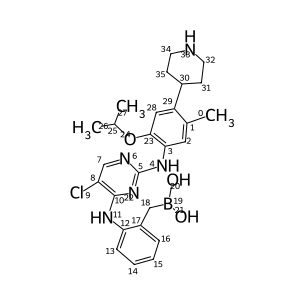 Cc1cc(Nc2ncc(Cl)c(Nc3ccccc3CB(O)O)n2)c(OC(C)C)cc1C1CCNCC1